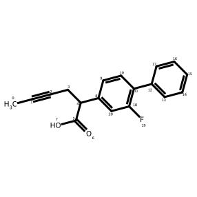 CC#CCC(C(=O)O)c1ccc(-c2ccccc2)c(F)c1